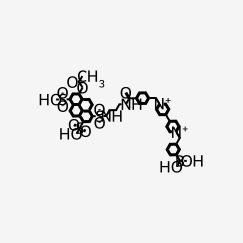 CC(=O)Oc1cc(S(=O)(=O)O)c2ccc3c(S(=O)(=O)O)cc(S(=O)(=O)NCCCNC(=O)c4ccc(C[n+]5ccc(-c6cc[n+](Cc7cccc(B(O)O)c7)cc6)cc5)cc4)c4ccc1c2c34